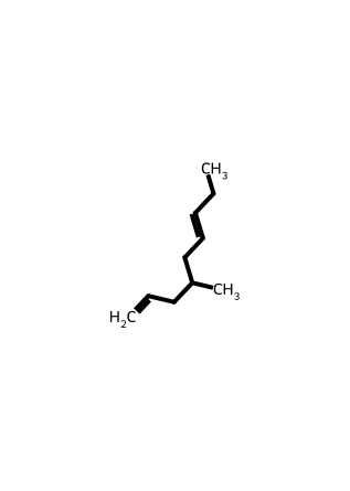 C=CCC(C)CC=CCC